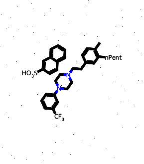 CCCCCc1cc(CCN2CCN(c3cccc(C(F)(F)F)c3)CC2)ccc1C.O=S(=O)(O)c1ccc2ccccc2c1